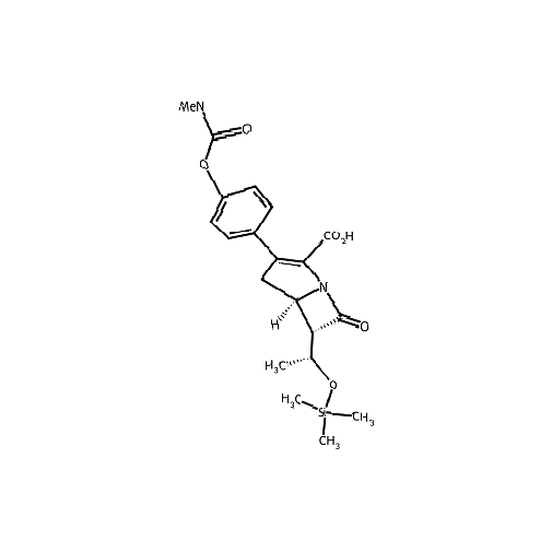 CNC(=O)Oc1ccc(C2=C(C(=O)O)N3C(=O)[C@H]([C@@H](C)O[Si](C)(C)C)[C@H]3C2)cc1